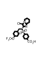 O=C(O)c1ccc(S(=O)(=O)N(Cc2ccc(OC(F)(F)F)cc2)c2nc3ccccn3c2Cl)cc1